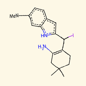 CNc1ccc2cc(C(I)C3=C(N)CC(C)(C)CC3)[nH]c2c1